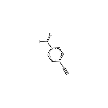 C#Cc1ccc(C(=O)I)cc1